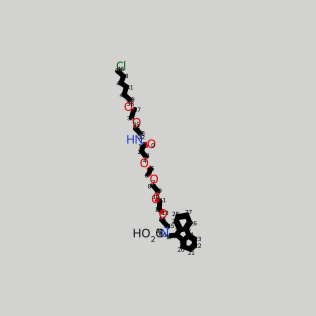 O=C(CCOCCOCCOCCOCCN(CC1c2ccccc2-c2ccccc21)C(=O)O)NCCOCCOCCCCCCCl